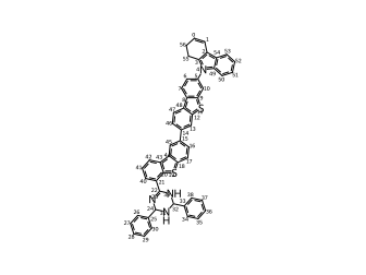 C1=Cc2c(n(-c3ccc4c(c3)sc3cc(-c5ccc6sc7c(C8=NC(c9ccccc9)NC(c9ccccc9)N8)cccc7c6c5)ccc34)c3ccccc23)CC1